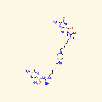 N=C(NCCCCCNC1CCN(CCCCCNC(=N)NC(=O)c2nc(Cl)c(N)nc2N)CC1)NC(=O)c1nc(Cl)c(N)nc1N